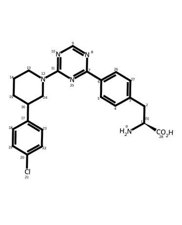 N[C@@H](Cc1ccc(-c2ncnc(N3CCCC(c4ccc(Cl)cc4)C3)n2)cc1)C(=O)O